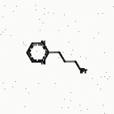 CC(C)CCCc1ncccn1